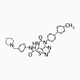 Cc1ccc(-c2ccc(N3C(=O)Nc4c(C(=O)Nc5ccc(CN6CCCCC6)cc5)sc5ncnc3c45)cc2)cc1